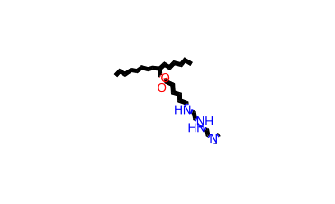 CCCCCCCCC(CCCCCC)COC(=O)CCCCCNCCNNCCN(C)C